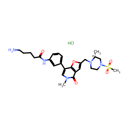 C[C@@H]1CN(S(C)(=O)=O)CCN1Cc1cc2c(=O)n(C)cc(-c3cccc(NC(=O)CCCCN)c3)c2o1.Cl